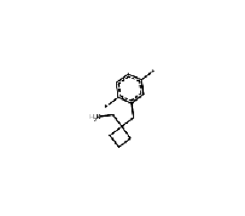 NCC1(Cc2cc(F)ccc2F)CCC1